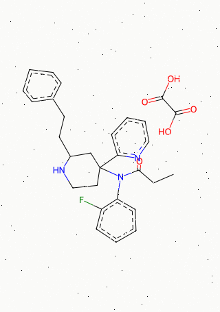 CCC(=O)N(c1ccccc1F)C1(c2ccccn2)CCNC(CCc2ccccc2)C1.O=C(O)C(=O)O